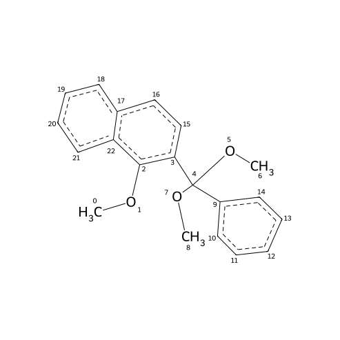 COc1c(C(OC)(OC)c2ccccc2)ccc2ccccc12